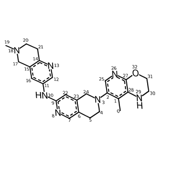 Cc1c(N2CCc3cnc(Nc4cnc5c(c4)CN(C)CC5)cc3C2)cnc2c1NCCO2